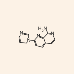 Nc1nccc2ccc(N3C=NC=CC3)nc12